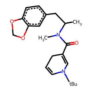 CC(Cc1ccc2c(c1)OCO2)N(C)C(=O)C1=CN(C(C)(C)C)C=CC1